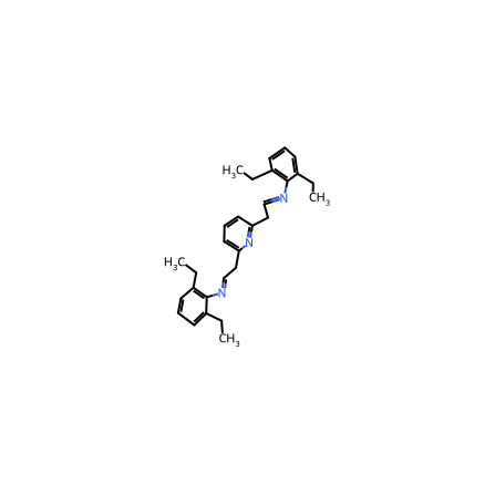 CCc1cccc(CC)c1N=CCc1cccc(CC=Nc2c(CC)cccc2CC)n1